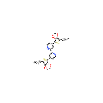 O=C(O)c1sc(-c2ccnc(-c3cc(-c4sc(C(=O)O)c5c4OCCO5)ccn3)c2)c2c1OCCO2